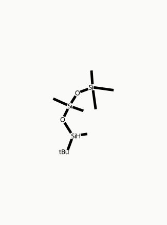 C[SiH](O[Si](C)(C)O[Si](C)(C)C)C(C)(C)C